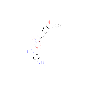 COc1cc(/C=C2\SC(=O)N(CC(=O)Nc3ccc(N)cc3)C2=O)ccc1O